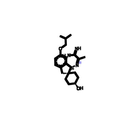 C/C(=N/[C@H]1c2cc(OCC(C)C)ccc2C[C@]12CC[C@@H](O)CC2)C(=N)N